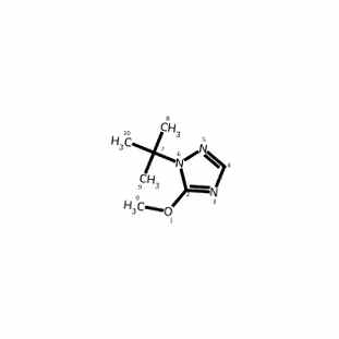 COc1ncnn1C(C)(C)C